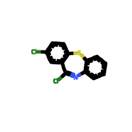 ClC1=Nc2ccccc2Sc2ccc(Cl)cc21